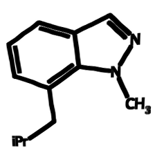 CC(C)Cc1cccc2cnn(C)c12